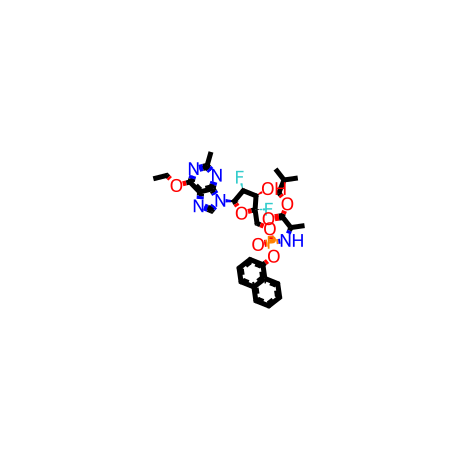 CCOc1nc(C)nc2c1ncn2[C@@H]1O[C@](F)(COP(=O)(NC(C)C(=O)OCC(C)C)Oc2cccc3ccccc23)[C@@H](O)[C@H]1F